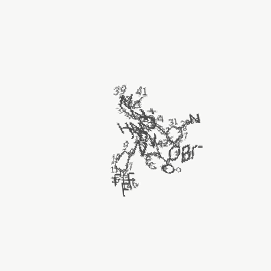 COC(=O)C1=C(C)N(c2cccc(C(F)(F)F)c2)c2n[nH]c(=O)n2C1c1ccc(C#N)cc1CC[n+]1ccn(C)c1C.[Br-]